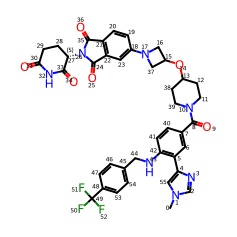 Cn1cnc(-c2cc(C(=O)N3CCC(OC4CN(c5ccc6c(c5)C(=O)N([C@H]5CCC(=O)NC5=O)C6=O)C4)CC3)ccc2NCc2ccc(C(F)(F)F)cc2)c1